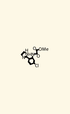 COC(=O)C(=O)Nc1cc(Cl)ccc1-c1ncc[nH]1